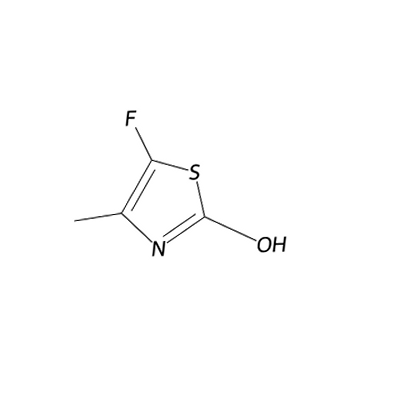 Cc1nc(O)sc1F